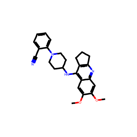 COc1cc2nc3c(c(NC4CCN(c5ccccc5C#N)CC4)c2cc1OC)CCC3